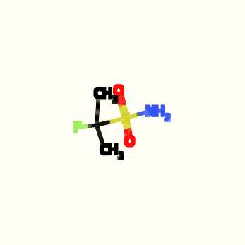 CC(C)(F)S(N)(=O)=O